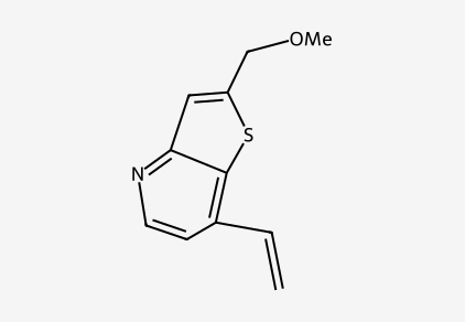 C=Cc1ccnc2cc(COC)sc12